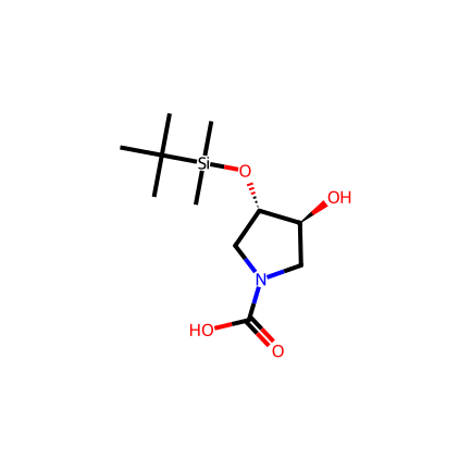 CC(C)(C)[Si](C)(C)O[C@H]1CN(C(=O)O)C[C@@H]1O